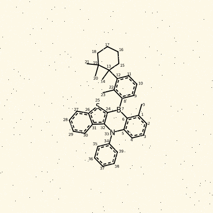 Cc1cccc2c1B(c1cccc(C3(C)CCCCC3(C)C)c1C)c1sc3ccccc3c1N2c1ccccc1